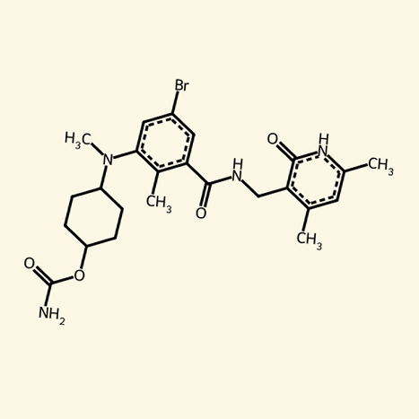 Cc1cc(C)c(CNC(=O)c2cc(Br)cc(N(C)C3CCC(OC(N)=O)CC3)c2C)c(=O)[nH]1